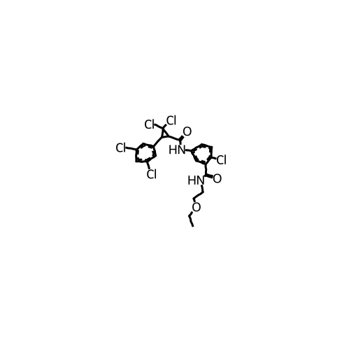 CCOCCNC(=O)c1cc(NC(=O)C2C(c3cc(Cl)cc(Cl)c3)C2(Cl)Cl)ccc1Cl